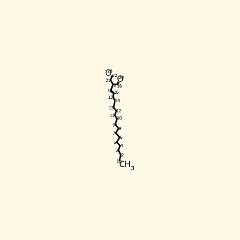 CCCCCCCCCCCCCCCCC=CC([C]=O)C[C]=O